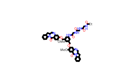 CCC(=O)NCC(=O)NCC(=O)NCC(=O)Nc1cc(COc2cc3c(cc2OC)C(=O)N2c4ccccc4CC2C=N3)cc(COc2cc3c(cc2OC)C(=O)N2c4ccccc4CC2C=N3)c1